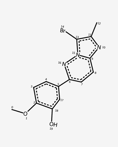 COc1ccc(-c2ccc3nc(C)c(Br)n3n2)cc1O